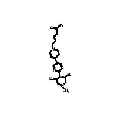 CCC1CN(C)CC(CC)N1c1ncc(C2CCN(CCCCC(=O)C(C)C)CC2)cn1